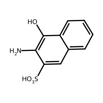 Nc1c(S(=O)(=O)O)cc2ccccc2c1O